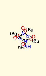 CCCNC(=O)CN1CCN(CC(=O)OC(C)(C)C)CCN(CC(=O)OC(C)(C)C)CCN(CC(=O)OC(C)(C)C)CC1